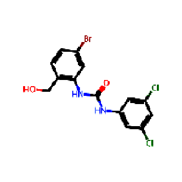 O=C(Nc1cc(Cl)cc(Cl)c1)Nc1cc(Br)ccc1CO